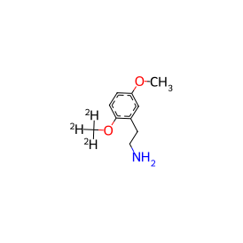 [2H]C([2H])([2H])Oc1ccc(OC)cc1CCN